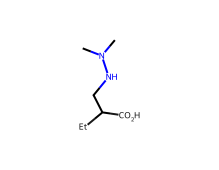 CCC(CNN(C)C)C(=O)O